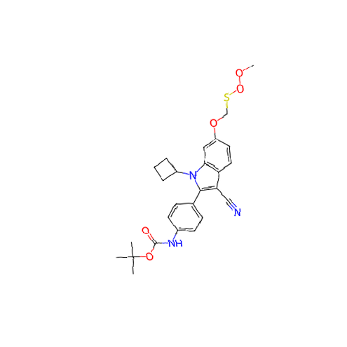 COOSCOc1ccc2c(C#N)c(-c3ccc(NC(=O)OC(C)(C)C)cc3)n(C3CCC3)c2c1